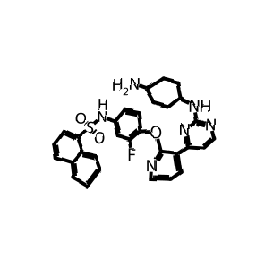 NC1CCC(Nc2nccc(-c3cccnc3Oc3ccc(NS(=O)(=O)c4cccc5ccccc45)cc3F)n2)CC1